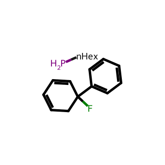 CCCCCCP.FC1(c2ccccc2)C=CC=CC1